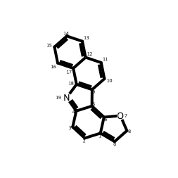 C1=c2ccc3c(c2OC1)-c1ccc2ccccc2c1N=3